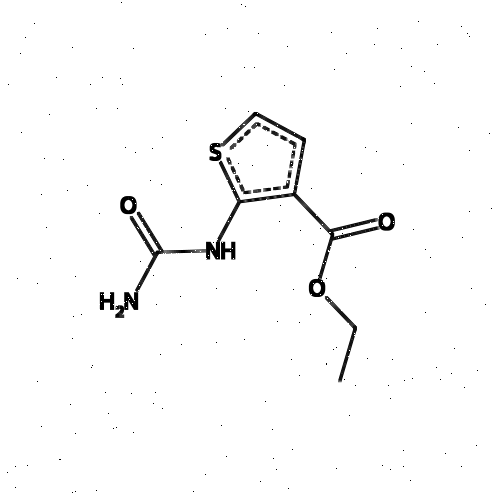 CCOC(=O)c1ccsc1NC(N)=O